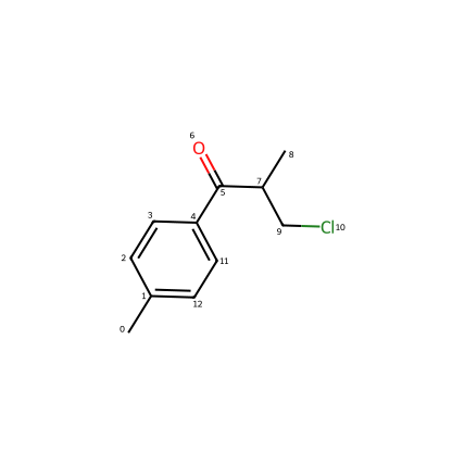 Cc1ccc(C(=O)C(C)CCl)cc1